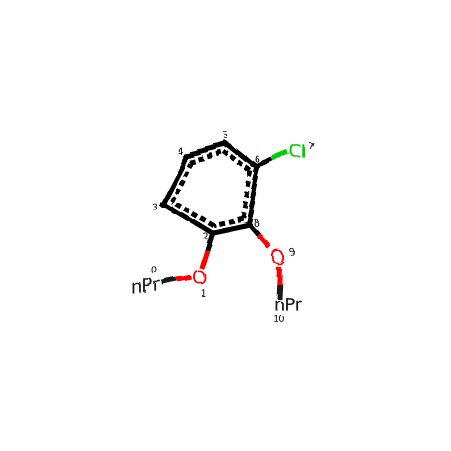 CCCOc1cccc(Cl)c1OCCC